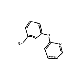 Brc1cccc(Oc2ccccn2)c1